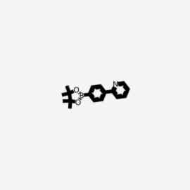 CC1(C)OB(c2ccc(-c3ccccn3)cc2)OC1(C)C